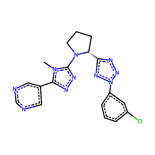 Cn1c(-c2cncnc2)nnc1N1CCC[C@@H]1c1nnn(-c2cccc(Cl)c2)n1